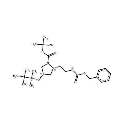 CC(C)(C)OC(=O)N1C[C@H](O[Si](C)(C)C(C)(C)C)C[C@H]1CCNC(=O)OCc1ccccc1